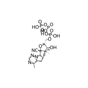 Cc1ncnn2c([C@]3(C#N)O[C@H](COP(=O)(O)OP(=O)(O)OP(=O)(O)O)[C@@H](O)[C@@]3(C)F)ccc12